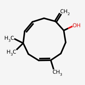 C=C1CC=CC(C)(C)CC=C(C)CCC1O